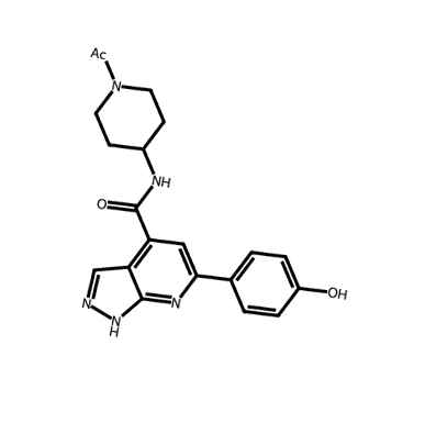 CC(=O)N1CCC(NC(=O)c2cc(-c3ccc(O)cc3)nc3[nH]ncc23)CC1